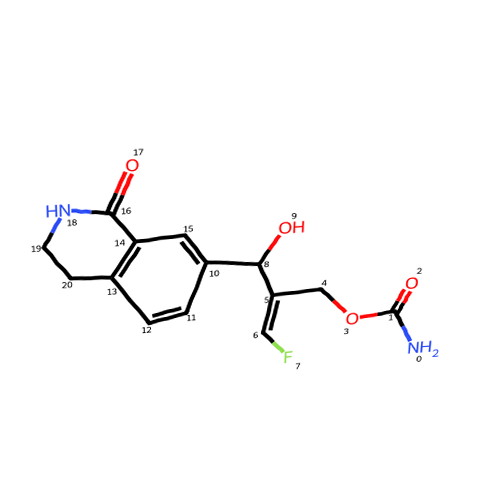 NC(=O)OCC(=CF)C(O)c1ccc2c(c1)C(=O)NCC2